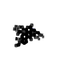 CCN(/C=C1/C(=O)O[C@H](COC)[C@@]2(C)C1=C(O)C(=O)C1=C2[C@H](OC(C)=O)C[C@@]2(C)C1CC[C@@H]2OC=O)CC